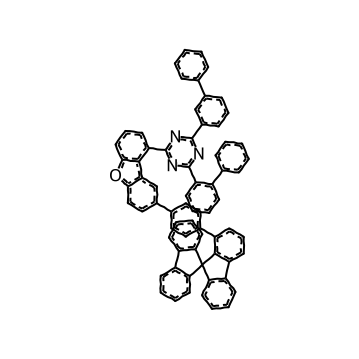 c1ccc(-c2cccc(-c3nc(-c4ccccc4-c4ccccc4)nc(-c4cccc5oc6ccc(-c7ccc(-c8cccc9c8C8(c%10ccccc%10-c%10ccccc%108)c8ccccc8-9)cc7)cc6c45)n3)c2)cc1